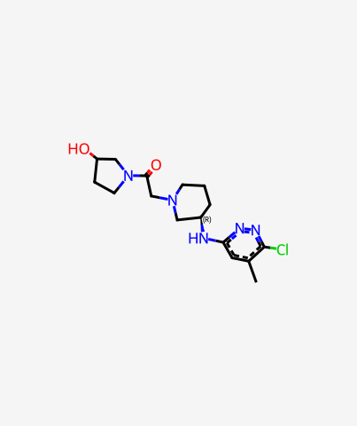 Cc1cc(N[C@@H]2CCCN(CC(=O)N3CCC(O)C3)C2)nnc1Cl